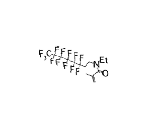 C=C(C)C(=O)N(CC)CCC(F)(F)C(F)(F)C(F)(F)C(F)(F)C(F)(F)C(F)(F)F